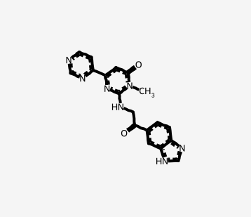 Cn1c(NCC(=O)c2ccc3nc[nH]c3c2)nc(-c2ccncn2)cc1=O